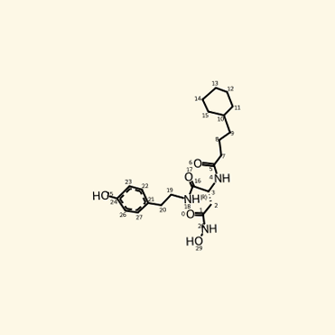 O=C(C[C@@H](NC(=O)CCCC1CCCCC1)C(=O)NCCc1ccc(O)cc1)NO